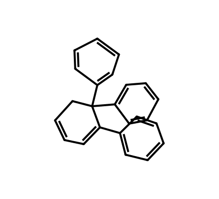 C1=CCC(c2ccccc2)(c2ccccc2)C(c2ccccc2)=C1